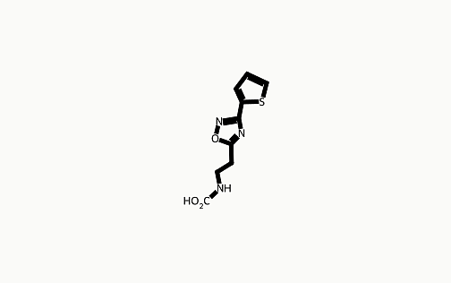 O=C(O)NCCc1nc(-c2cccs2)no1